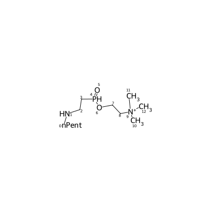 CCCCCNCC[PH](=O)OCC[N+](C)(C)C